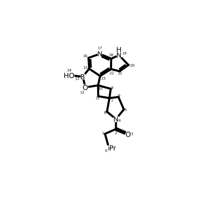 CC(C)CC(=O)N1CCC2(C1)CC1(C2)OB(O)c2cnc3[nH]ccc3c21